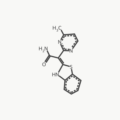 Cc1ccnc(/C(C(N)=O)=C2/Nc3ccccc3S2)n1